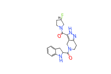 O=C(c1[nH]nc2c1CN(C(=O)C1Cc3ccccc3N1)CC2)N1CC[C@@H](F)C1